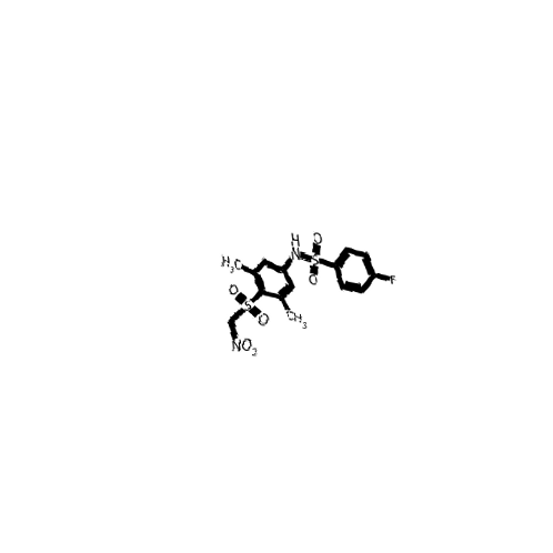 Cc1cc(NS(=O)(=O)c2ccc(F)cc2)cc(C)c1S(=O)(=O)C[N+](=O)[O-]